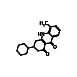 Cc1cccc2c(=O)c3c([nH]c12)CC(C1CCCCC1)CC3=O